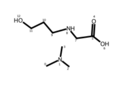 CN(C)C.O=C(O)CNCCCO